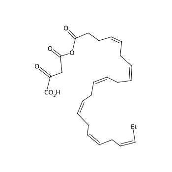 CC/C=C\C/C=C\C/C=C\C/C=C\C/C=C\C/C=C\CCC(=O)OC(=O)CC(=O)C(=O)O